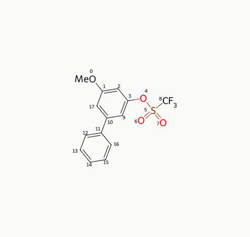 COc1cc(OS(=O)(=O)C(F)(F)F)cc(-c2ccccc2)c1